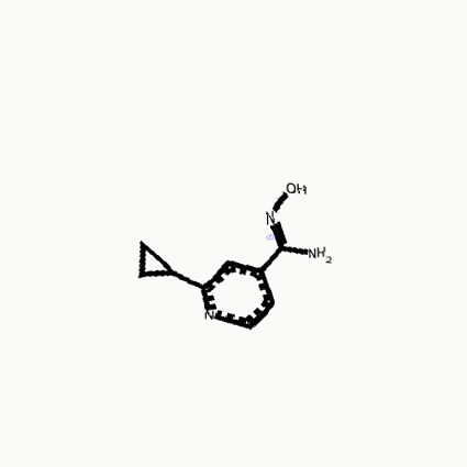 N/C(=N\O)c1ccnc(C2CC2)c1